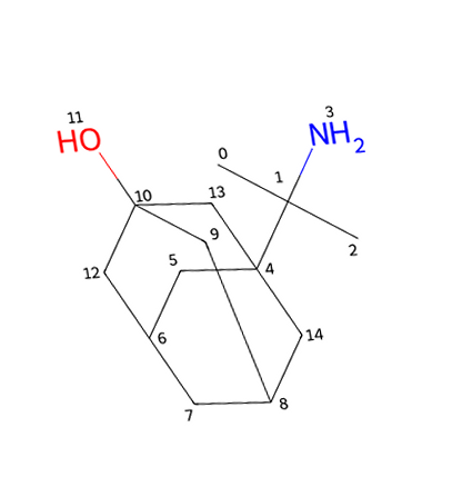 CC(C)(N)C12CC3CC(CC(O)(C3)C1)C2